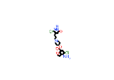 Nc1c(Cl)cc(C(=O)OC2CCN(CCCc3cc(=O)[nH]nc3Cl)CC2)c2c1CCO2